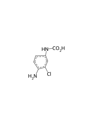 Nc1ccc(NC(=O)O)cc1Cl